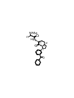 CCC(NC)C(=O)N[C@H]1CC[C@H]2CC[C@@H](c3cccc(C(=O)c4ccccc4)c3)N2C1=O